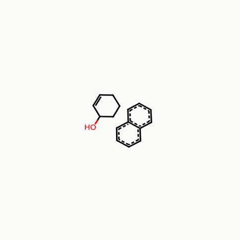 OC1C=CCCC1.c1ccc2ccccc2c1